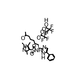 CC(=O)CCCCC[C@H](NS(=O)(=O)c1c(C)nn(C)c1C)c1ncc(-c2ccccc2)[nH]1.O=C(O)C(F)(F)F.O=C(O)C(F)(F)F